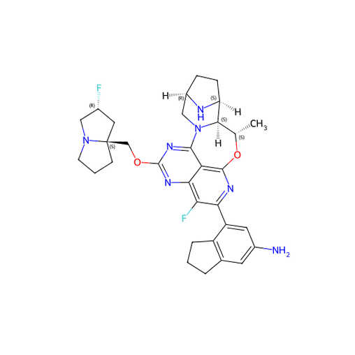 C[C@@H]1Oc2nc(-c3cc(N)cc4c3CCC4)c(F)c3nc(OC[C@@]45CCCN4C[C@H](F)C5)nc(c23)N2C[C@H]3CC[C@H](N3)[C@@H]12